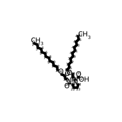 CCCCCCCCCCCCCCOCC(CNC(=O)[C@@H]1CCCN1N(CC=O)C(=O)O)OCCCCCCCCCCCCCC